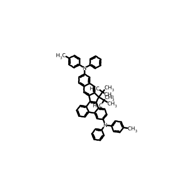 Cc1ccc(N(c2ccccc2)c2ccc3cc4c(cc3c2)C(C(C)(C)C)(C(C)(C)C)c2c-4c3ccccc3c3cc(N(c4ccccc4)c4ccc(C)cc4)ccc23)cc1